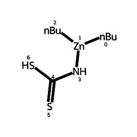 CCC[CH2][Zn]([CH2]CCC)[NH]C(=S)S